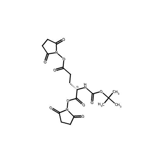 CC(C)(C)OC(=O)N[C@@H](CCC(=O)ON1C(=O)CCC1=O)C(=O)ON1C(=O)CCC1=O